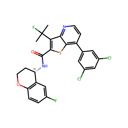 CC(C)(F)c1c(C(=O)N[C@H]2CCOc3ccc(F)cc32)sc2c(-c3cc(Cl)cc(Cl)c3)ccnc12